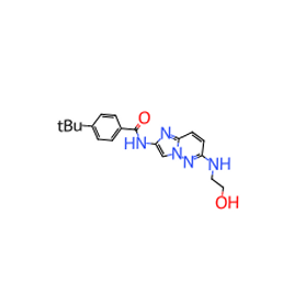 CC(C)(C)c1ccc(C(=O)Nc2cn3nc(NCCO)ccc3n2)cc1